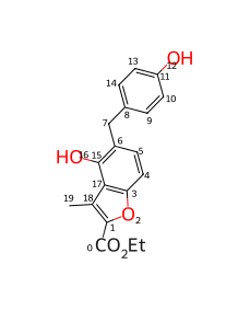 CCOC(=O)c1oc2ccc(Cc3ccc(O)cc3)c(O)c2c1C